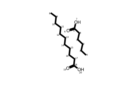 CCCCCC(=O)O.CCCCCCCCCCC(=O)O